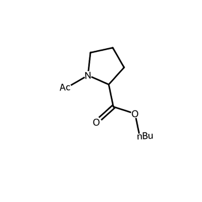 CCCCOC(=O)C1CCCN1C(C)=O